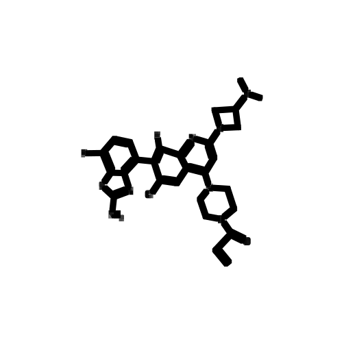 C=CC(=O)N1CCN(c2cc(N3CC(N(C)C)C3)nc3c(F)c(-c4ccc(F)c5sc(N)nc45)c(Cl)cc23)CC1